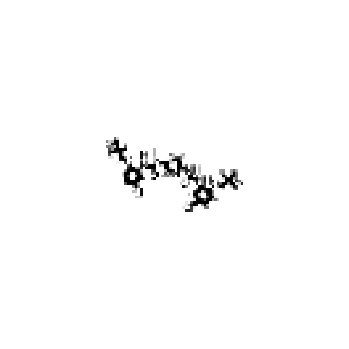 CC1(COc2ccc(Cl)cc2NC(=O)Nc2cnc(NC(=O)Nc3cc(Cl)ccc3OCC3(C)COC3)cn2)COC1